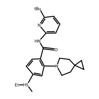 CC[SH](C)c1ccc(C(=O)Nc2cccc(C(C)(C)C)n2)c(N2CCC3(CC2)CC3)c1